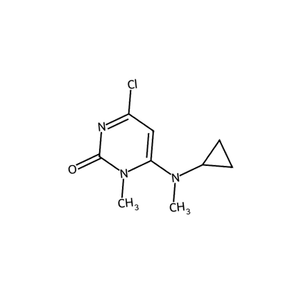 CN(c1cc(Cl)nc(=O)n1C)C1CC1